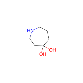 OC1(O)CCCNCC1